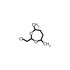 CC1CCC(C)OC(CCl)O1